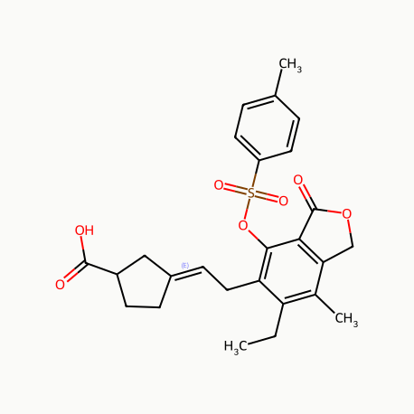 CCc1c(C)c2c(c(OS(=O)(=O)c3ccc(C)cc3)c1C/C=C1\CCC(C(=O)O)C1)C(=O)OC2